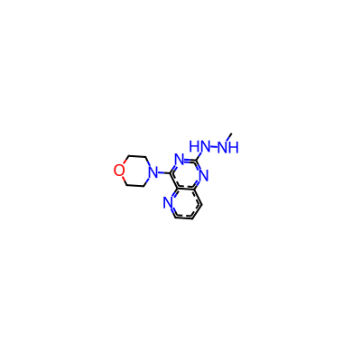 CNNc1nc(N2CCOCC2)c2ncccc2n1